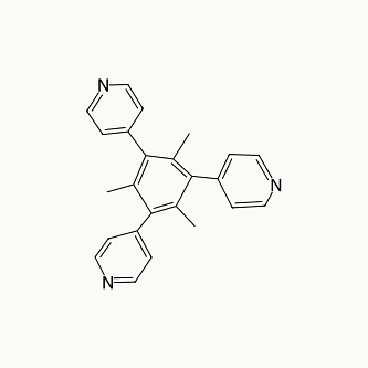 Cc1c(-c2ccncc2)c(C)c(-c2ccncc2)c(C)c1-c1ccncc1